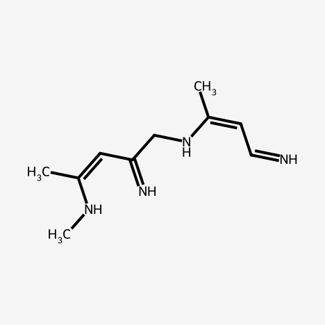 CN/C(C)=C\C(=N)CN/C(C)=C\C=N